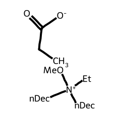 CCC(=O)[O-].CCCCCCCCCC[N+](CC)(CCCCCCCCCC)OC